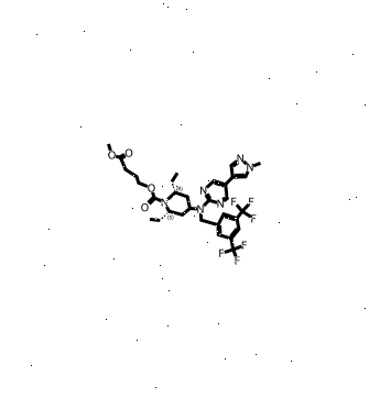 CC[C@@H]1CC(N(Cc2cc(C(F)(F)F)cc(C(F)(F)F)c2)c2ncc(-c3cnn(C)c3)cn2)C[C@H](CC)N1C(=O)OCCCC(=O)OC